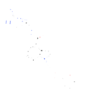 N=C1NCC2(CCN(C(=O)c3cccc4c3ccn4CCOC3CCCCO3)CC2)N1